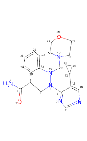 NC(=O)CCN(c1ncncc1C1CC1)N(CN1CCOCC1)c1ccccc1